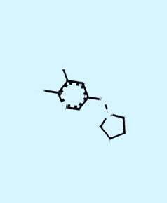 Clc1cc(NN2CCCC2)cnc1Cl